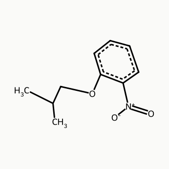 CC(C)COc1ccccc1[N+](=O)[O-]